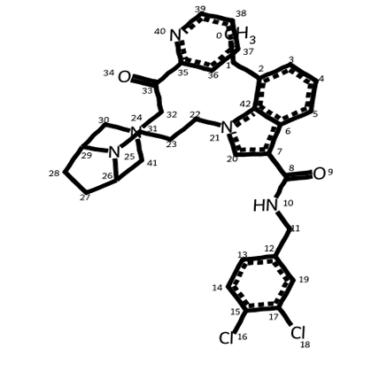 CCc1cccc2c(C(=O)NCc3ccc(Cl)c(Cl)c3)cn(CCCN3C4CCC3CN(CC(=O)c3ccccn3)C4)c12